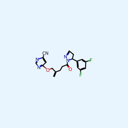 C=C(CCC(=O)N1N=CCC1c1cc(F)cc(F)c1)COc1cc(C#N)ncn1